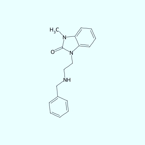 Cn1c(=O)n(CCNCc2ccccc2)c2ccccc21